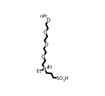 CCCOCCOCCOCCOCC[N+](CC)(CC)CCCS(=O)(=O)O